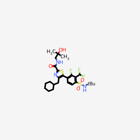 CC(C)(O)CNC(=O)c1nc(CC2CCCCC2)c(-c2ccc(S(=O)(=O)NC(C)(C)C)c(C(F)F)c2F)s1